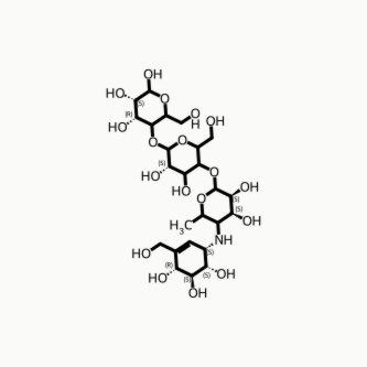 CC1OC(OC2C(CO)OC(OC3C(CO)OC(O)[C@@H](O)[C@H]3O)[C@@H](O)C2O)[C@@H](O)[C@@H](O)C1N[C@H]1C=C(CO)[C@@H](O)[C@H](O)[C@H]1O